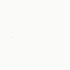 [2H]C([2H])(N)CC(O)c1cccc(NC(=O)C2CCCCC2)c1